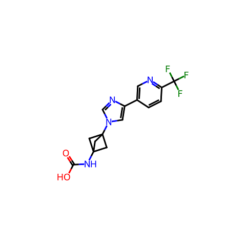 O=C(O)NC12CC(n3cnc(-c4ccc(C(F)(F)F)nc4)c3)(C1)C2